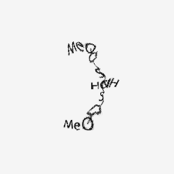 COc1ccc(CSCCNCCSCc2ccc(OC)cc2)cc1.Cl